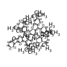 Cc1cc2c(cc1N1c3cc(C(c4ccc(C(C)(C)C)cc4)c4ccc(C(C)(C)C)cc4)ccc3B3c4c(cc(C(C)(C)C)cc41)-c1cc4c(cc1N3c1ccc3c(c1)C(C)(C)CCC3(C)C)oc1ccccc14)C(C)(C)CCC2(C)C